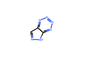 c1n[nH]c2nnnnc12